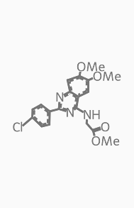 COC(=O)CNc1nc(-c2ccc(Cl)cc2)nc2cc(OC)c(OC)cc12